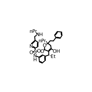 CCCNCc1ccc(S(=O)(=O)Nc2cccc([C@@H](CC)C3=C(O)C[C@@](CCC)(CCc4ccccc4)OC3=O)c2)nc1